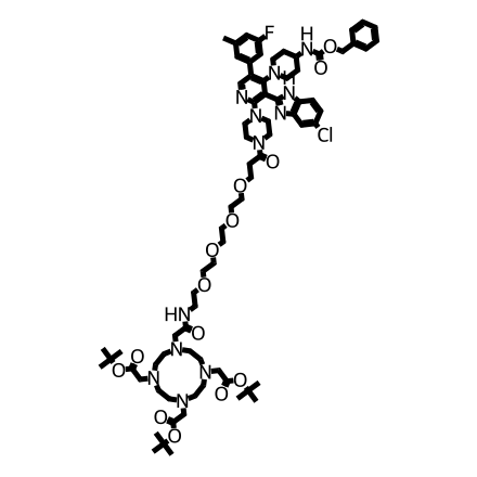 Cc1cc(F)cc(-c2cnc(N3CCN(C(=O)CCOCCOCCOCCOCCNC(=O)CN4CCN(CC(=O)OC(C)(C)C)CCN(CC(=O)OC(C)(C)C)CCN(CC(=O)OC(C)(C)C)CC4)CC3)c(-c3nc4cc(Cl)ccc4[nH]3)c2N2CCC(NC(=O)OCc3ccccc3)CC2)c1